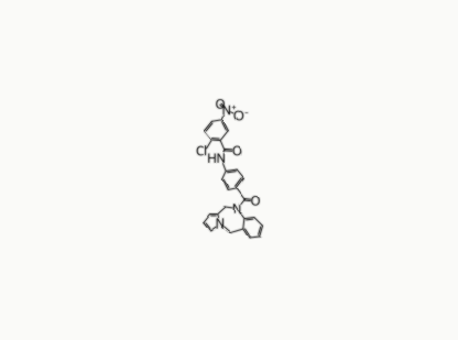 O=C(Nc1ccc(C(=O)N2Cc3cccn3Cc3ccccc32)cc1)c1cc([N+](=O)[O-])ccc1Cl